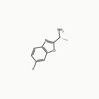 C[C@@H](N)c1nc2ccc(F)cc2o1